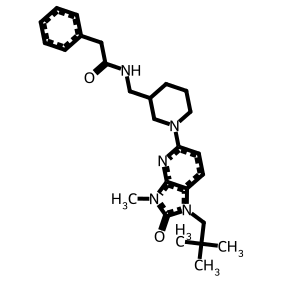 Cn1c(=O)n(CC(C)(C)C)c2ccc(N3CCCC(CNC(=O)Cc4ccccc4)C3)nc21